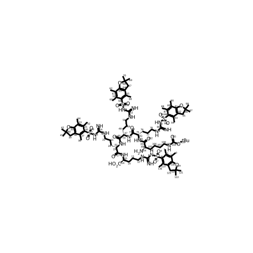 Cc1c(C)c(S(=O)(=O)NC(=N)NCCC[C@H](NC(=O)[C@H](CCCNC(=N)NS(=O)(=O)c2c(C)c(C)c3c(c2C)CC(C)(C)O3)NC(=O)[C@H](CCCNC(=N)NS(=O)(=O)c2c(C)c(C)c3c(c2C)CC(C)(C)O3)NC(=O)[C@H](CCCNC(=N)NS(=O)(=O)c2c(C)c(C)c3c(c2C)CC(C)(C)O3)NC(=O)[C@@H](N)CCCCNC(=O)OC(C)(C)C)C(=O)O)c(C)c2c1OC(C)(C)C2